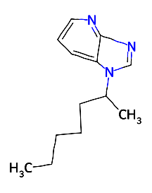 CCCCCC(C)n1cnc2ncccc21